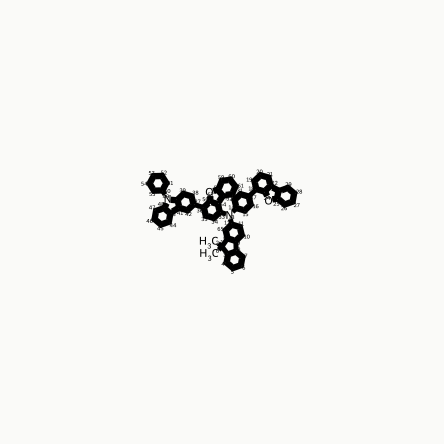 CC1(C)c2ccccc2-c2ccc(N(c3ccc(-c4cccc5c4oc4ccccc45)cc3)c3ccc(-c4ccc5c(c4)c4ccccc4n5-c4ccccc4)c4oc5ccccc5c34)cc21